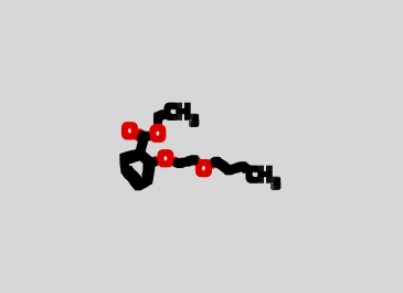 CCCCOCCOc1ccccc1C(=O)OCC